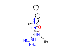 CC(C)CCCNC(=O)[C@@H](CCCNC(=N)N)NC(=O)[C@H](Cc1ccc(-c2ccccc2)cc1)NC(C)C